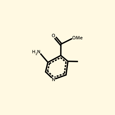 COC(=O)c1c(C)cncc1N